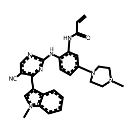 C=CC(=O)Nc1cc(N2CCN(C)CC2)ccc1Nc1ncc(C#N)c(-c2cn(C)c3ccccc23)n1